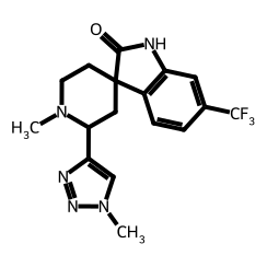 CN1CCC2(CC1c1cn(C)nn1)C(=O)Nc1cc(C(F)(F)F)ccc12